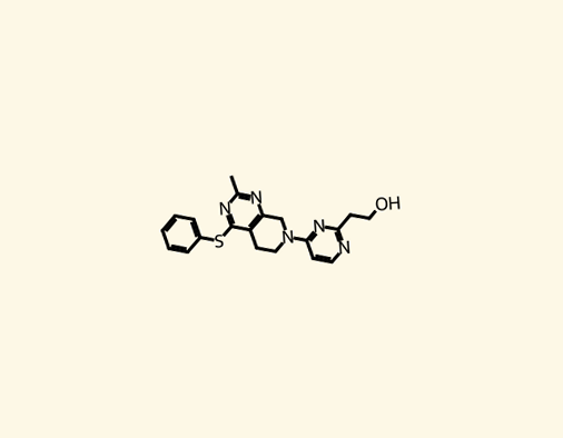 Cc1nc2c(c(Sc3ccccc3)n1)CCN(c1ccnc(CCO)n1)C2